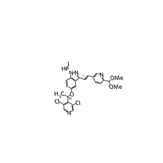 COC(OC)c1ccc(/C=C/c2nn(PI)c3ccc(O[C@H](C)c4c(Cl)cncc4Cl)cc23)cn1